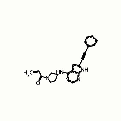 C=CC(=O)N1CCC(Nc2ncnc3[nH]c(C#Cc4ccccc4)cc23)C1